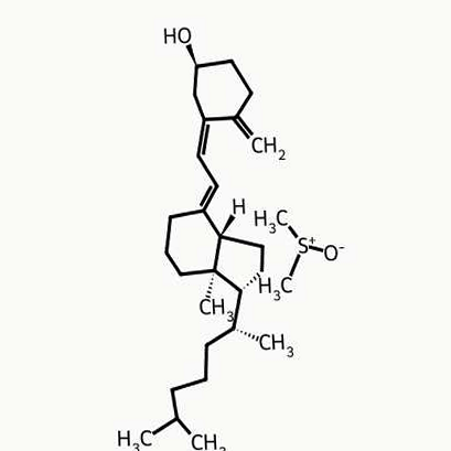 C=C1CC[C@H](O)C/C1=C/C=C1\CCC[C@]2(C)[C@@H]([C@H](C)CCCC(C)C)CC[C@@H]12.C[S+](C)[O-]